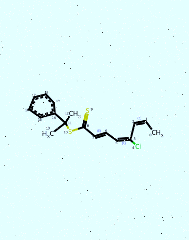 C\C=C/C(Cl)=C\C=C\C(=S)SC(C)(C)c1ccccc1